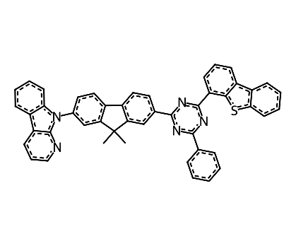 CC1(C)c2cc(-c3nc(-c4ccccc4)nc(-c4cccc5c4sc4ccccc45)n3)ccc2-c2ccc(-n3c4ccccc4c4cccnc43)cc21